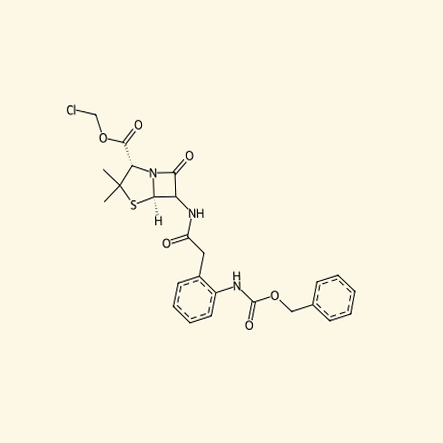 CC1(C)S[C@@H]2C(NC(=O)Cc3ccccc3NC(=O)OCc3ccccc3)C(=O)N2[C@H]1C(=O)OCCl